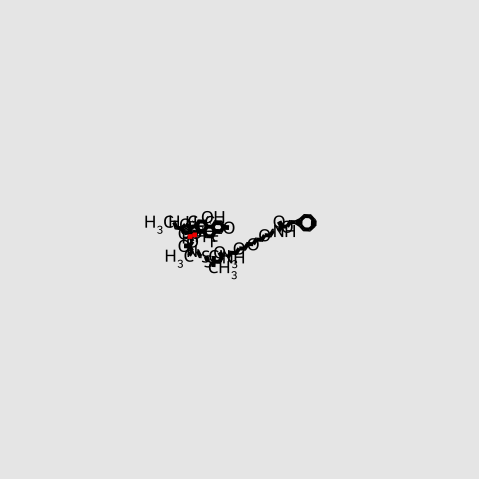 CCCC1O[C@@H]2C[C@H]3[C@@H]4C[C@H](F)C5=CC(=O)C=C[C@]5(C)[C@@]4(F)[C@@H](O)C[C@]3(C)[C@]2(C(=O)COC(=O)N(C)CCSSC(C)(C)CC(=O)NCCOCCOCCOCCNC(=O)OCC2C3CCC#CCCC32)O1